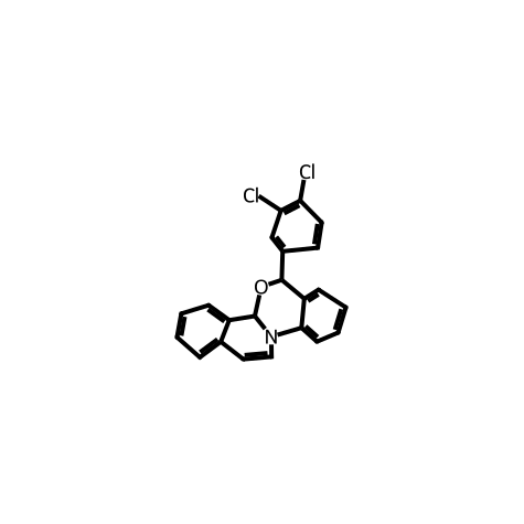 Clc1ccc(C2OC3c4ccccc4C=CN3c3ccccc32)cc1Cl